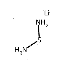 NSN.[Li]